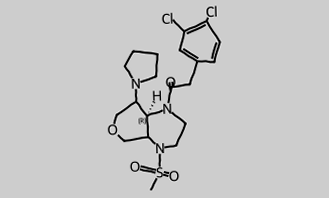 CS(=O)(=O)N1CCN(C(=O)Cc2ccc(Cl)c(Cl)c2)[C@@H]2C(N3CCCC3)COCC21